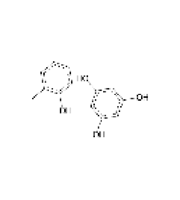 Cc1ccccc1O.Oc1cc(O)cc(O)c1